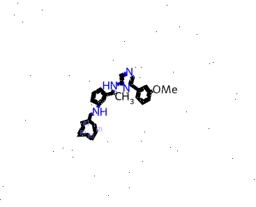 COc1cccc(-c2cncc(N[C@@H](C)c3cccc(NCC4=C/C=C/C=C/C=C\4)c3)n2)c1